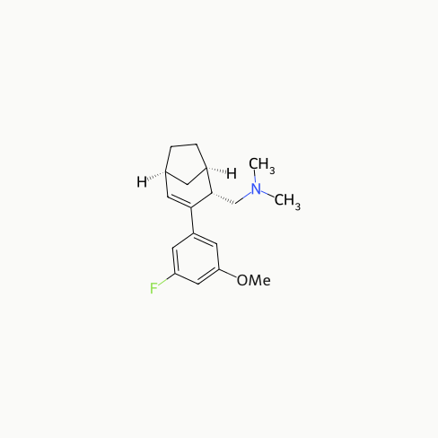 COc1cc(F)cc(C2=C[C@H]3CC[C@H](C3)[C@@H]2CN(C)C)c1